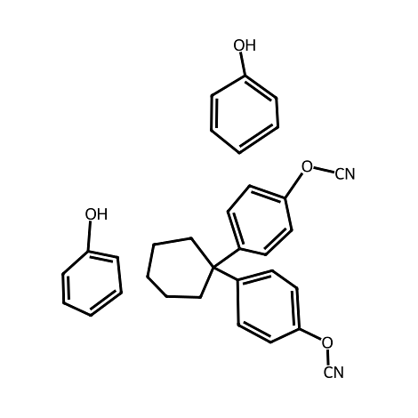 N#COc1ccc(C2(c3ccc(OC#N)cc3)CCCCC2)cc1.Oc1ccccc1.Oc1ccccc1